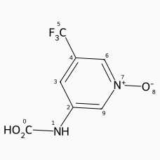 O=C(O)Nc1cc(C(F)(F)F)c[n+]([O-])c1